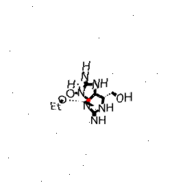 CCO[C@H]1CN2C(=N)N[C@@H](CO)C3NC(=N)N(O)C32[C@@H]1C